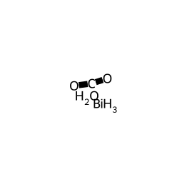 O.O=C=O.[BiH3]